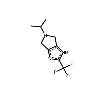 CC(C)N1Cc2nc(C(F)(F)F)[nH]c2C1